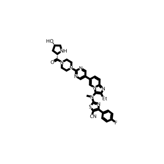 CCc1nc2ccc(-c3cnc(N4CCN(C(=O)[C@@H]5C[C@H](O)CN5)CC4)nc3)cn2c1N(C)c1nc(-c2ccc(F)cc2)c(C#N)s1